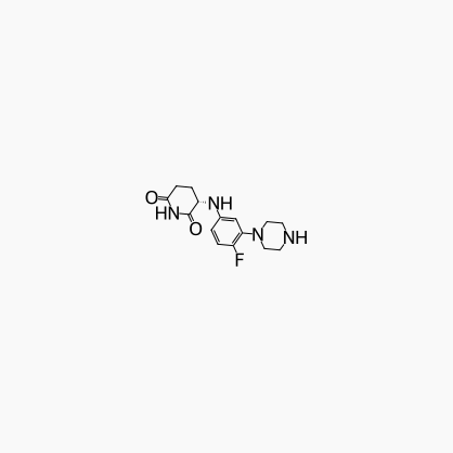 O=C1CC[C@H](Nc2ccc(F)c(N3CCNCC3)c2)C(=O)N1